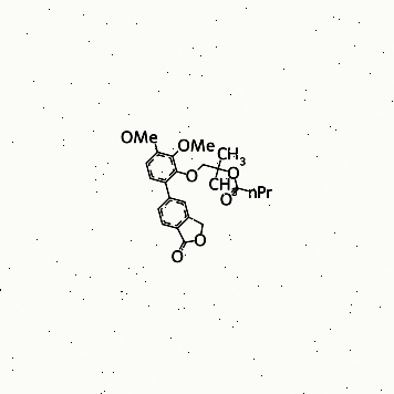 CCCC(=O)OC(C)(C)COc1c(-c2ccc3c(c2)COC3=O)ccc(OC)c1OC